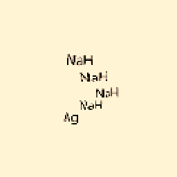 [Ag].[NaH].[NaH].[NaH].[NaH]